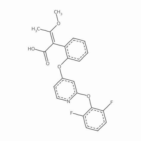 COC(C)=C(C(=O)O)c1ccccc1Oc1ccnc(Oc2c(F)cccc2F)c1